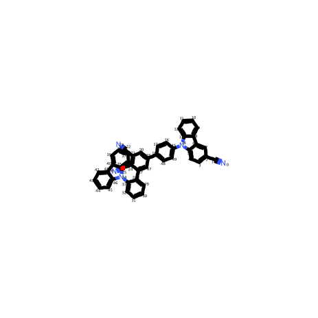 N#Cc1ccc2c(c1)c1ccccc1n2-c1ccc(-c2cc(C#N)c(C#N)c(-c3ccccc3-n3c4ccccc4c4ccccc43)c2)cc1